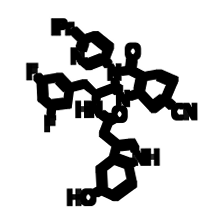 CC(C)c1ccc(-n2c([C@H](Cc3cc(F)cc(F)c3)NC(=O)Cc3c[nH]c4ccc(O)cc34)nc3cc(C#N)ccc3c2=O)cn1